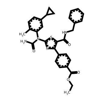 CCOC(=O)c1ccc(-c2nc(N(C(N)=O)c3cc(C4CC4)ccc3C)sc2C(=O)NCc2ccccc2)cc1